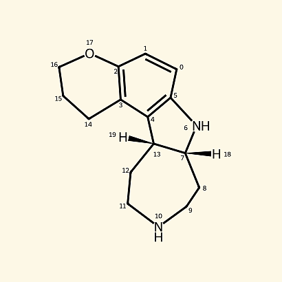 c1cc2c(c3c1N[C@@H]1CCNCC[C@H]31)CCCO2